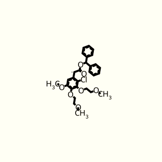 COCCOc1c(OC)cc([CH]C(=O)OC(c2ccccc2)c2ccccc2)c(Cl)c1OCCOC